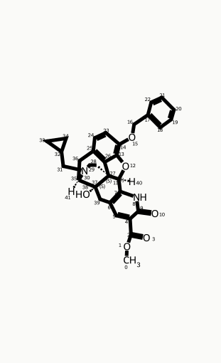 COC(=O)c1cc2c([nH]c1=O)[C@@H]1Oc3c(OCc4ccccc4)ccc4c3[C@@]13CCN(CC1CC1)[C@H](C4)[C@]3(O)C2